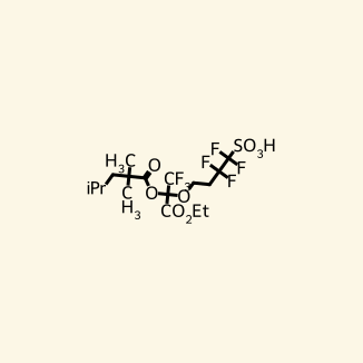 CCOC(=O)C(OCCC(F)(F)C(F)(F)S(=O)(=O)O)(OC(=O)C(C)(C)CC(C)C)C(F)(F)F